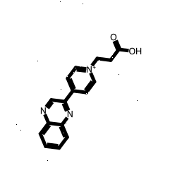 O=C(O)CC[n+]1ccc(-c2cnc3ccccc3n2)cc1